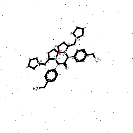 CCc1ccc([C@@H](C(=O)[C@H](c2ccc(CC)cc2)N2CCCC2CN2CCCC2)N2CCCC2CN2CCCC2)cc1